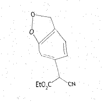 CCOC(=O)C(C#N)c1ccc2c(c1)OOC2